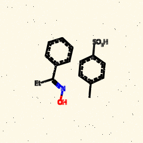 CCC(=NO)c1ccccc1.Cc1ccc(S(=O)(=O)O)cc1